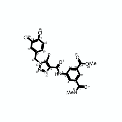 CNC(=O)c1cc(NC(=O)c2nnn(Cc3ccc(Cl)c(Cl)c3)c2C)cc(C(=O)OC)c1